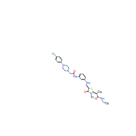 CCn1c(=C(C#N)C(=O)NCC#N)sc(=CNc2cccc(NC(=O)CN3CCN(c4ccc(Cl)cc4)CC3)c2)c1=O